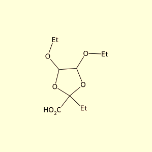 CCOC1OC(CC)(C(=O)O)OC1OCC